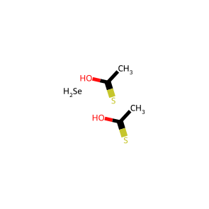 CC(O)=S.CC(O)=S.[SeH2]